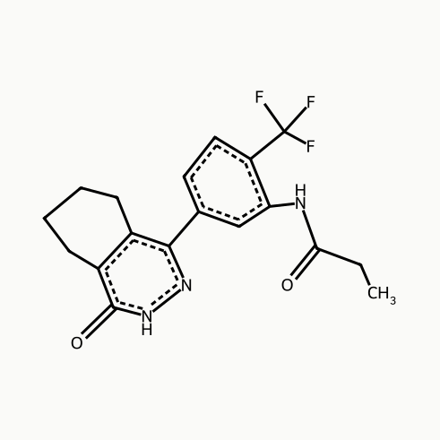 CCC(=O)Nc1cc(-c2n[nH]c(=O)c3c2CCCC3)ccc1C(F)(F)F